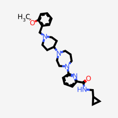 COc1ccccc1CN1CCC(N2CCCN(c3cccc(C(=O)NCC4CC4)n3)CC2)CC1